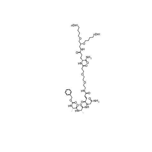 CCCCCCCCCCCCCCOCC(CNC(=O)CC[C@H](NC(=O)CCOCCOCCNC(=O)/C=C/C(=O)N(CC(N)=O)NC(=O)[C@H](C)NC(=O)[C@H](C)NC(=O)OCc1ccccc1)C(N)=O)OCCCCCCCCCCCCCC